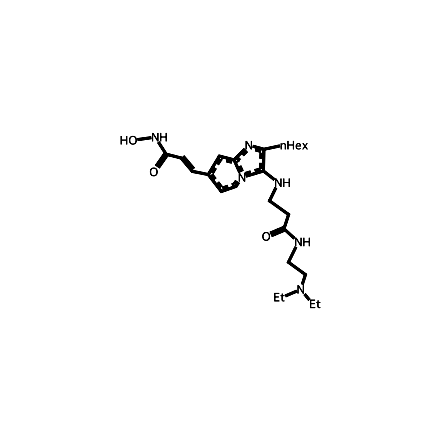 CCCCCCc1nc2cc(C=CC(=O)NO)ccn2c1NCCC(=O)NCCN(CC)CC